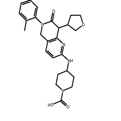 Cc1ccccc1N1Cc2ccc(NC3CCN(C(=O)O)CC3)nc2C(C2CCOC2)C1=O